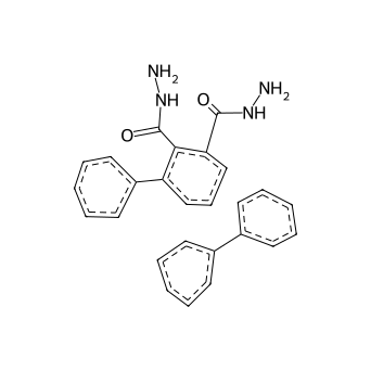 NNC(=O)c1cccc(-c2ccccc2)c1C(=O)NN.c1ccc(-c2ccccc2)cc1